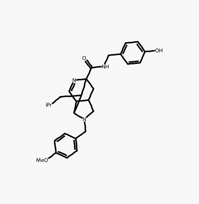 COc1ccc(CN2CC3CC4(C(=O)NCc5ccc(O)cc5)N=CC3C2C4CC(C)C)cc1